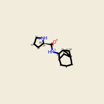 O=C(NC1C2CCCC3(C2)CC1C3)[C@H]1CCCN1